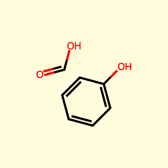 O=CO.Oc1ccccc1